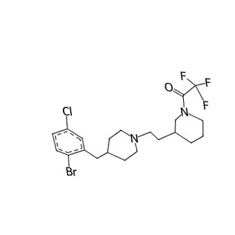 O=C(N1CCCC(CCN2CCC(Cc3cc(Cl)ccc3Br)CC2)C1)C(F)(F)F